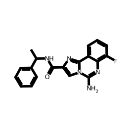 CC(NC(=O)c1cn2c(N)nc3c(F)cccc3c2n1)c1ccccc1